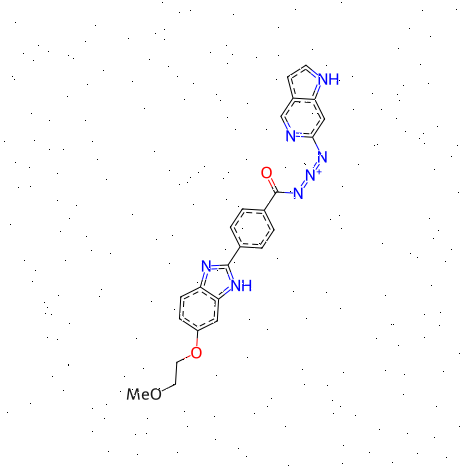 COCCOc1ccc2nc(-c3ccc(C(=O)N=[N+]=Nc4cc5[nH]ccc5cn4)cc3)[nH]c2c1